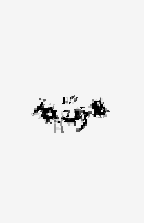 CCN1C(=NC23CC4CC(CC(C4)C2)C3)SCC1CC(=O)Nc1ccc(C(C)C)cc1.Cl